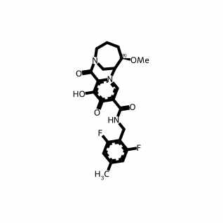 CO[C@@H]1CCCN2CC1n1cc(C(=O)NCc3c(F)cc(C)cc3F)c(=O)c(O)c1C2=O